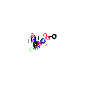 Nc1nnc(Cl)cc1N1C[C@H]2COC[C@@H](C1)N2c1cccc(OC2CCN(C(=O)OCc3ccccc3)CC2)c1